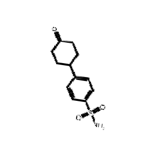 NS(=O)(=O)c1ccc(C2CCC(=O)CC2)cc1